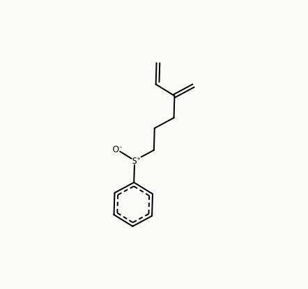 C=CC(=C)CCC[S+]([O-])c1ccccc1